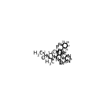 C=CC(=O)N1C[C@@H](C)N(c2nc(=O)n(-c3c(C(C)C)ncnc3C(C)C)c3nc(-c4ccccc4F)c(F)cc23)[C@@H](C)C1